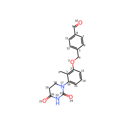 Cc1c(OCc2ccc(C=O)cc2)cccc1N1CCC(=O)NC1=O